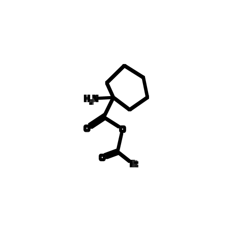 CCC(=O)OC(=O)C1(N)CCCCC1